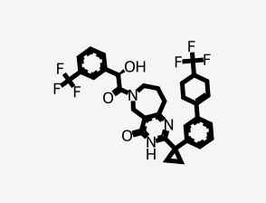 O=C([C@H](O)c1cccc(C(F)(F)F)c1)N1CCCc2nc(C3(c4cccc(C5=CCC(C(F)(F)F)CC5)c4)CC3)[nH]c(=O)c2C1